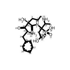 CCC[C@](N)(C(=O)NC(CC(=O)O)(C(C)N)P(=O)(O)O)C(=O)[C@@H](N)Cc1ccccc1